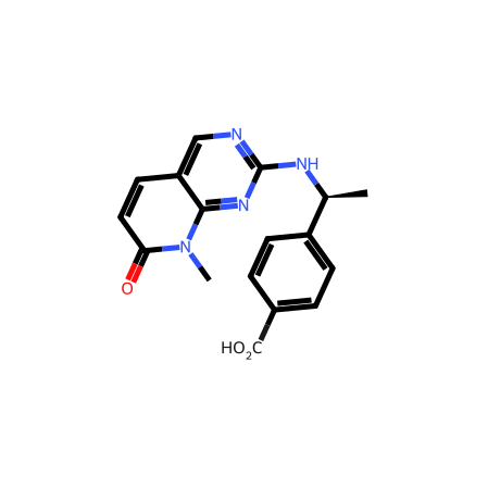 C[C@H](Nc1ncc2ccc(=O)n(C)c2n1)c1ccc(C(=O)O)cc1